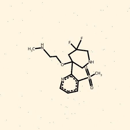 CNCCOC1(c2ncccc2S(C)(=O)=O)CN[CH]C(F)(F)C1